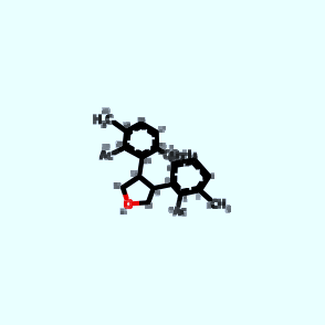 CC(=O)c1c(C)ccc(C(=O)O)c1C1COCC1c1c(C(=O)O)ccc(C)c1C(C)=O